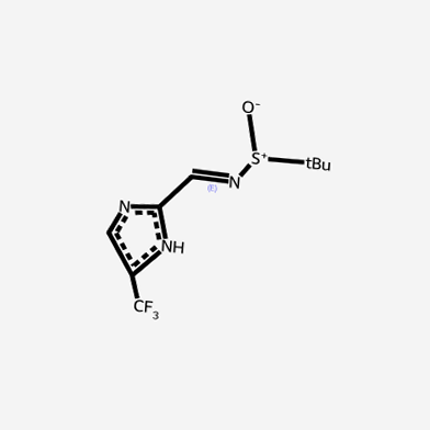 CC(C)(C)[S+]([O-])/N=C/c1ncc(C(F)(F)F)[nH]1